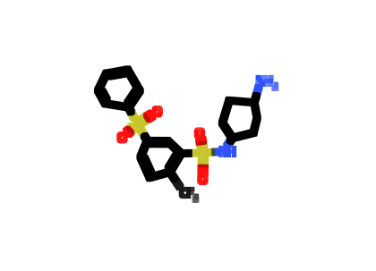 NC1CCC(NS(=O)(=O)c2cc(S(=O)(=O)c3ccccc3)ccc2C(F)(F)F)CC1